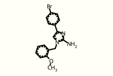 COc1ccccc1Cn1cc(-c2ccc(Br)cc2)nc1N